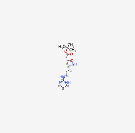 CC(C)(C)OC(=O)C[C@H]1C[C@H](CCCNC2=NCCCN2)NO1